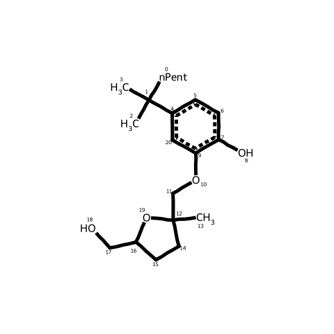 CCCCCC(C)(C)c1ccc(O)c(OCC2(C)CCC(CO)O2)c1